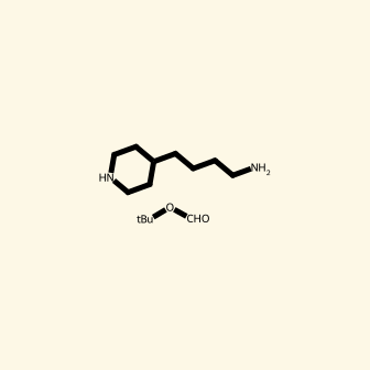 CC(C)(C)OC=O.NCCCCC1CCNCC1